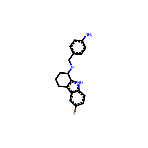 Nc1ccc(CNC2CCCc3c2[nH]c2ccc(Br)cc32)cc1